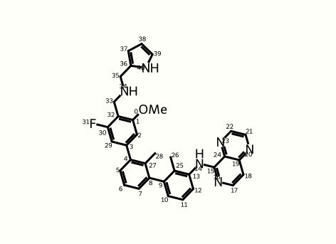 COc1cc(-c2cccc(-c3cccc(Nc4nccc5nccnc45)c3C)c2C)cc(F)c1CNCc1ccc[nH]1